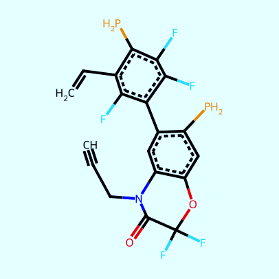 C#CCN1C(=O)C(F)(F)Oc2cc(P)c(-c3c(F)c(F)c(P)c(C=C)c3F)cc21